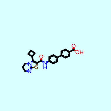 O=C(Nc1ccc(-c2ccc(C(=O)O)cc2)cc1)C1=C(C2CCC2)N2CCCN=C2S1